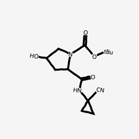 CC(C)(C)OC(=O)N1CC(O)CC1C(=O)NC1(C#N)CC1